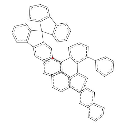 c1ccc(-c2ccccc2-c2c(-c3ccccc3)cccc2N(c2cccc(-c3ccc4ccccc4c3)c2)c2ccc3c(c2)C2(c4ccccc4-c4ccccc42)c2ccccc2-3)cc1